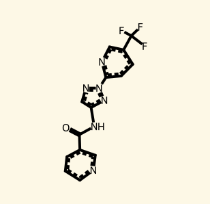 O=C(Nc1cnn(-c2ccc(C(F)(F)F)cn2)n1)c1cccnc1